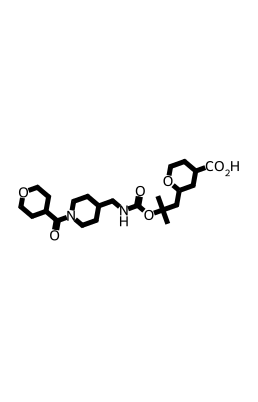 CC(C)(CC1CC(C(=O)O)CCO1)OC(=O)NCC1CCN(C(=O)C2CCOCC2)CC1